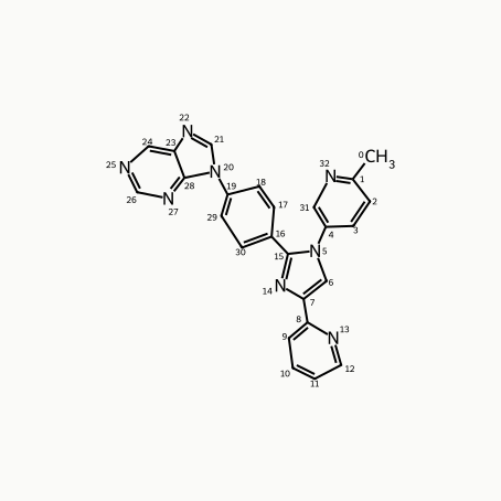 Cc1ccc(-n2cc(-c3ccccn3)nc2-c2ccc(-n3cnc4cncnc43)cc2)cn1